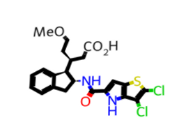 COCC[C@@H](CC(=O)O)[C@@H]1c2ccccc2C[C@H]1NC(=O)c1cc2sc(Cl)c(Cl)c2[nH]1